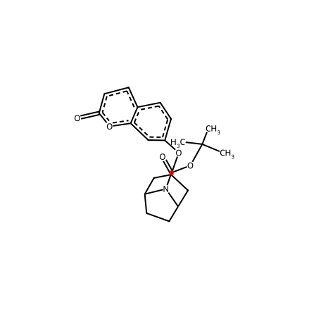 CC(C)(C)OC(=O)N1C2CCC1CC(Oc1ccc3ccc(=O)oc3c1)C2